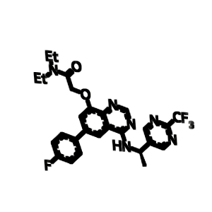 CCN(CC)C(=O)COc1cc(-c2ccc(F)cc2)cc2c(N[C@H](C)c3cnc(C(F)(F)F)nc3)ncnc12